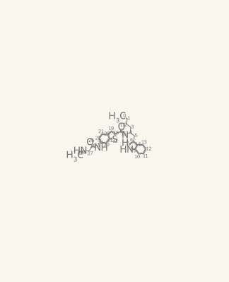 CCCCC(Cc1c[nH]c2ccccc12)NC(=O)c1cc2ccc(NC(=O)CNC)cc2s1